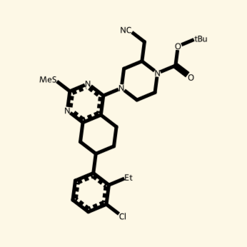 CCc1c(Cl)cccc1C1CCc2c(nc(SC)nc2N2CCN(C(=O)OC(C)(C)C)C(CC#N)C2)C1